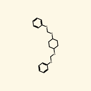 c1ccc(SCSC2CCC(SCSc3ccccc3)CC2)cc1